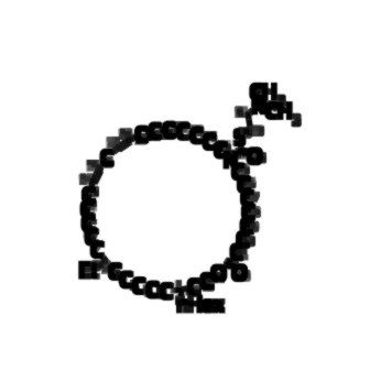 CCCCCCC1CCCCCC(CC)CCCCC/C=C\C/C=C\CCCCCCCN(C(=O)SCCN(C)C)CCCCCCCC(=O)OCC1